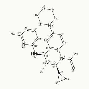 CC(=O)N1c2ccc(N3CCOCC3)cc2[C@H](Nc2cccc(C)n2)[C@@H](C)[C@@H]1C1CC1